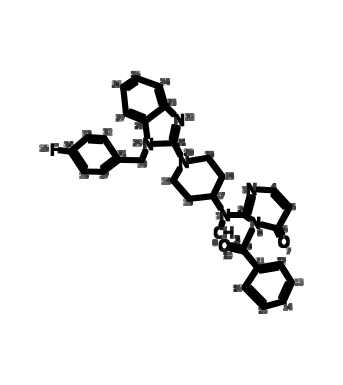 CN(c1nccc(=O)n1C(=O)c1ccccc1)C1CCN(c2nc3ccccc3n2Cc2ccc(F)cc2)CC1